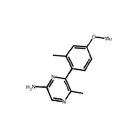 Cc1cc(OC(C)(C)C)ccc1-c1nc(N)cnc1C